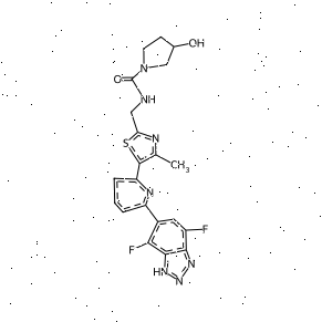 Cc1nc(CNC(=O)N2CCC(O)C2)sc1-c1cccc(-c2cc(F)c3nn[nH]c3c2F)n1